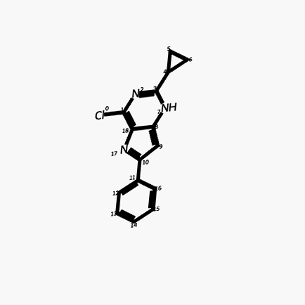 Clc1nc(C2CC2)[nH]c2cc(-c3ccccc3)nc1-2